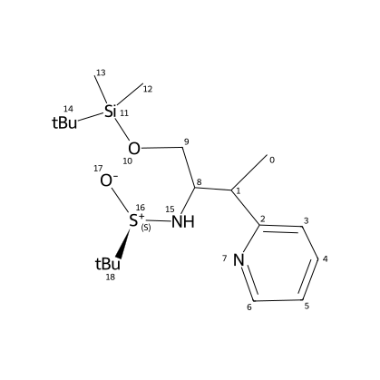 CC(c1ccccn1)C(CO[Si](C)(C)C(C)(C)C)N[S@+]([O-])C(C)(C)C